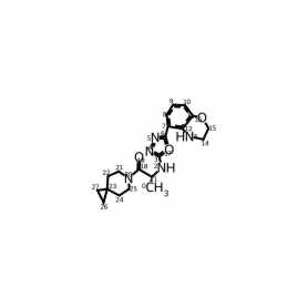 C[C@H](Nc1nnc(-c2cccc3c2NCCO3)o1)C(=O)N1CCC2(CC1)CC2